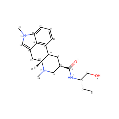 CC[C@@H](CO)NC(=O)[C@@H]1CC2c3cccc4c3c(cn4C)C[C@H]2N(C)C1